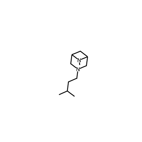 CC(C)CCN1CC2CC(C1)N2C